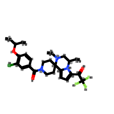 CC(C)Oc1ccc(C(=O)N2CCC3(CC2)c2ccc(C(=O)C(F)(F)F)n2C(C)CN3C)cc1Cl